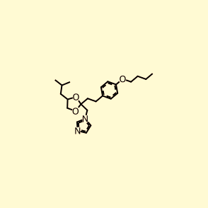 CCCCOc1ccc(CCC2(Cn3ccnc3)OCC(CC(C)C)O2)cc1